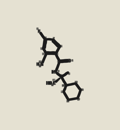 C[C@@](NC(=O)c1ccc(F)cc1N)(C(=O)O)C1CCCCC1